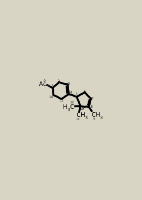 CC(=O)C1CC=C(C2CC=C(C)C2(C)C)CC1